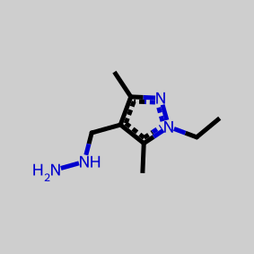 CCn1nc(C)c(CNN)c1C